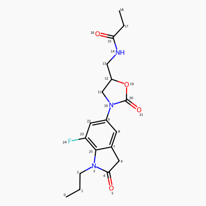 CCCN1C(=O)Cc2cc(N3CC(CNC(=O)CC)OC3=O)cc(F)c21